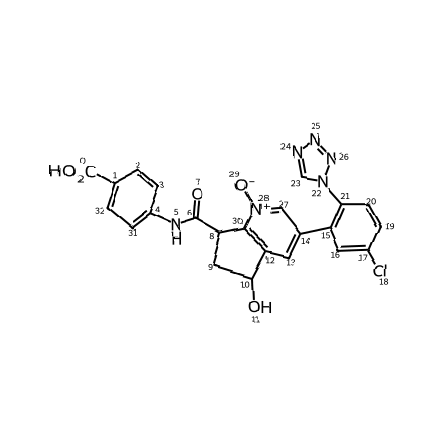 O=C(O)c1ccc(NC(=O)C2CC(O)c3cc(-c4cc(Cl)ccc4-n4cnnn4)c[n+]([O-])c32)cc1